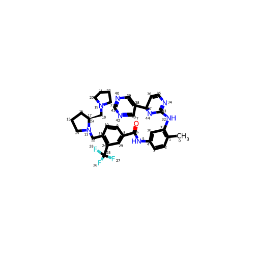 Cc1ccc(NC(=O)c2ccc(CN3CCC[C@H]3CN3CCCC3)c(C(F)(F)F)c2)cc1Nc1nccc(-c2cncnc2)n1